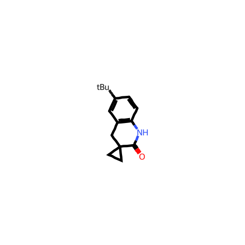 CC(C)(C)c1ccc2c(c1)CC1(CC1)C(=O)N2